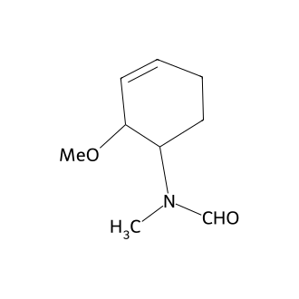 COC1C=CCCC1N(C)C=O